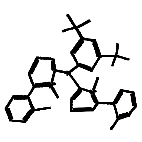 Cc1ccccc1-c1cccc(N(c2cc(C(C)(C)C)cc(C(C)(C)C)c2)c2cccc(-c3ccccc3C)[n+]2C)[n+]1C